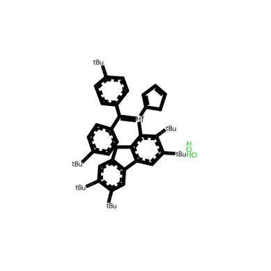 CC(C)(C)c1ccc([C](c2ccc(C(C)(C)C)cc2)=[Hf]([C]2=CC=CC2)[c]2c3c(cc(C(C)(C)C)c2C(C)(C)C)-c2cc(C(C)(C)C)c(C(C)(C)C)cc2C3)cc1.Cl.Cl